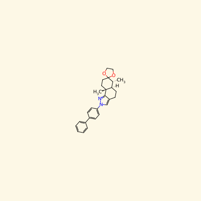 C[C@@H]1[C@H]2CCc3cn(-c4ccc(-c5ccccc5)cc4)nc3[C@]2(C)CCC12OCCO2